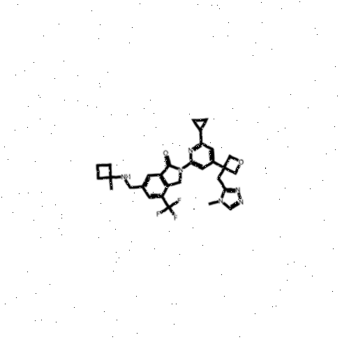 Cn1cnnc1CC1(c2cc(C3CC3)nc(N3Cc4c(cc(CNC5(C)CCC5)cc4C(F)(F)F)C3=O)c2)COC1